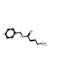 CC/C=C/C(=O)OCc1ccccc1